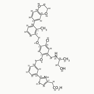 Cc1c(COc2cc(OCc3cccc(-c4nc(CC(=O)O)cs4)c3)c(CNC(C)CO)cc2Cl)cccc1-c1ccc2c(c1)OCCO2